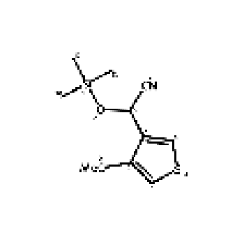 COc1cscc1C(C#N)O[Si](C)(C)C